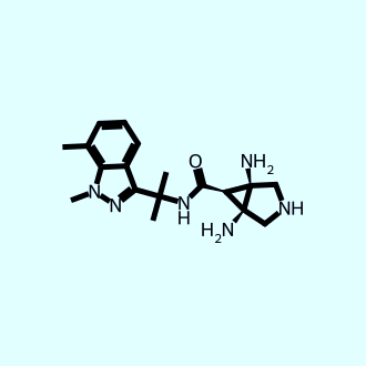 Cc1cccc2c(C(C)(C)NC(=O)[C@H]3[C@]4(N)CNC[C@]34N)nn(C)c12